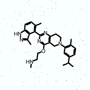 CNCCOc1nc(-c2c(C)ccc3[nH]nc(C)c23)nc2c1CN(c1cc(C(C)C)ccc1C)CC2